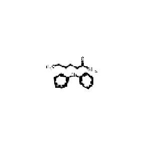 CCCCCC(N)=O.c1ccc(Oc2ccccc2)cc1